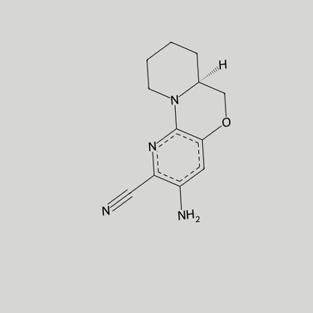 N#Cc1nc2c(cc1N)OC[C@@H]1CCCCN21